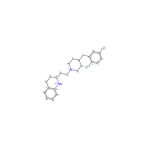 Clc1ccc(Cl)c(CC2CCN(CCC3CCc4ccccc4N3)CC2)c1